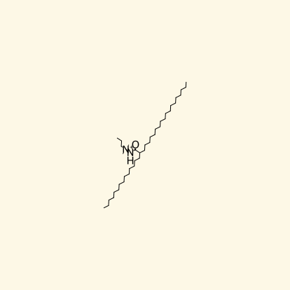 CCCCCCCCCCCCCCCCCCC(CCCCCCCCCCCCCC)C(=O)N[N+](C)(C)CCC